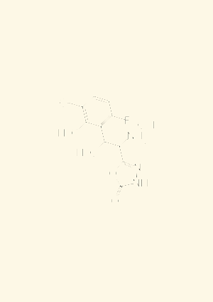 Cc1c(Cl)ccc(F)c1C(C)C(N)c1n[nH]c(=O)o1.Cl